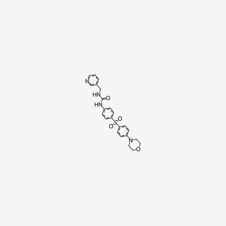 O=C(NCc1cccnc1)Nc1ccc(S(=O)(=O)c2ccc(N3CCOCC3)cc2)cc1